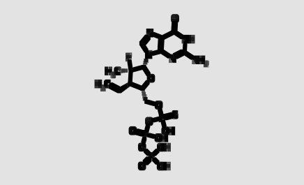 C=C[C@@H]1[C@@H](COP(O)(=S)OP(=O)(O)OP(=O)(O)O)O[C@@H](n2cnc3c(=O)[nH]c(N)nc32)[C@]1(C)F